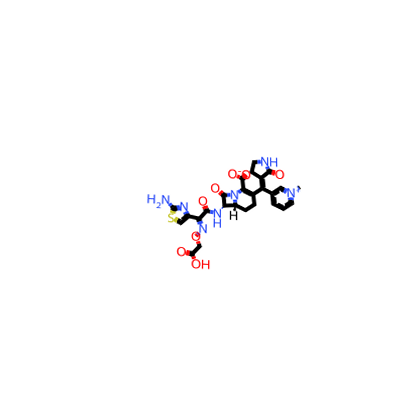 C[n+]1cccc(C(=C2CCNC2=O)C2=C(C(=O)[O-])N3C(=O)[C@@H](NC(=O)C(=NOCC(=O)O)c4csc(N)n4)[C@H]3CC2)c1